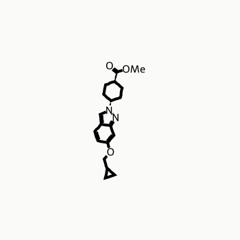 COC(=O)[C@H]1CC[C@H](n2cc3ccc(OCC4CC4)cc3n2)CC1